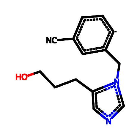 N#Cc1cc[c]c(Cn2cncc2CCCO)c1